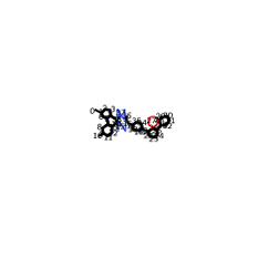 Cc1ccc2c(c1)c1cc(C)ccc1c1nc(-c3ccc(-c4cccc5c4oc4ccccc45)cc3)cnc21